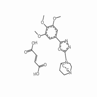 COc1cc(-c2nnc(N3CCN4CCC3CC4)o2)cc(OC)c1OC.O=C(O)/C=C/C(=O)O